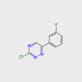 Fc1cccc(-c2cnc(Cl)nn2)c1